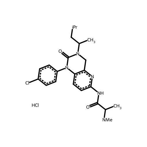 CNC(C)C(=O)Nc1ccc2c(n1)CN(C(C)CC(C)C)C(=O)N2c1ccc(Cl)cc1.Cl